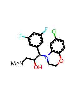 CNCC(O)C(c1cc(F)cc(F)c1)N1CCOc2ccc(Cl)cc21